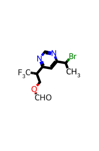 CC(Br)c1cc(C(COC=O)C(F)(F)F)ncn1